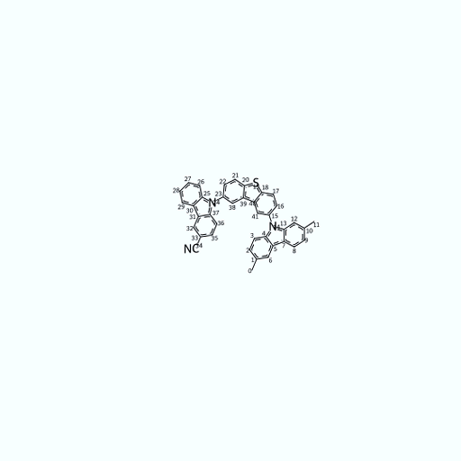 Cc1ccc2c(c1)c1ccc(C)cc1n2-c1ccc2sc3ccc(-n4c5ccccc5c5cc(C#N)ccc54)cc3c2c1